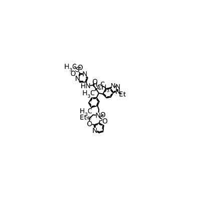 CC[C@@H]1CN(Cc2cc(C(c3ccc4c(nnn4CC)c3C)C(C)(C)C(=O)Nc3cnc(S(C)(=O)=O)nc3)ccc2C)S(=O)(=O)c2cccnc2O1